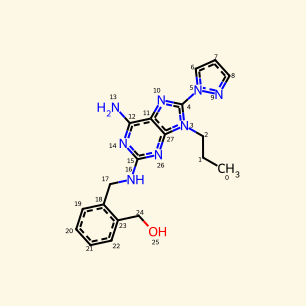 CCCn1c(-n2cccn2)nc2c(N)nc(NCc3ccccc3CO)nc21